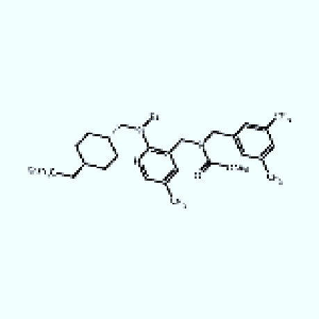 CCOC(=O)C[C@H]1CC[C@H](CN(CC)c2ncc(C(F)(F)F)cc2CN(Cc2cc(C(F)(F)F)cc(C(F)(F)F)c2)C(=O)OC)CC1